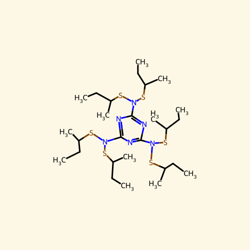 CCC(C)SN(SC(C)CC)c1nc(N(SC(C)CC)SC(C)CC)nc(N(SC(C)CC)SC(C)CC)n1